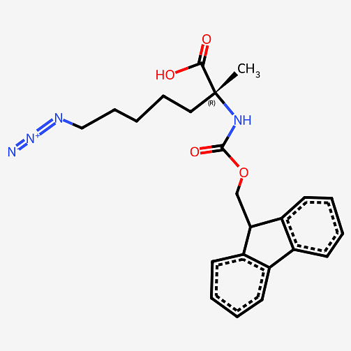 C[C@](CCCCCN=[N+]=[N-])(NC(=O)OCC1c2ccccc2-c2ccccc21)C(=O)O